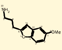 COc1ccc2oc(CCCN)cc2c1